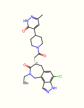 Cc1cc(C2CCN(C(=O)C[C@@H]3Cc4cc(Cl)c5[nH]ncc5c4CN(CC(C)(C)C)C3=O)CC2)c(=O)[nH]n1